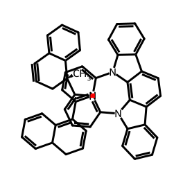 C[C@@]1(c2cccc(-n3c4ccccc4c4ccc5c6ccccc6n(-c6cccc(C7=C8C=CC=CC8CC=C7)n6)c5c43)n2)CC#Cc2ccccc21